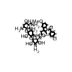 COc1ccc2c(c1)c(CC(=O)OC[C@H]1O[C@H](O[C@H]3C(N)C[C@H](N)[C@@H](O[C@H]4O[C@H](CN)[C@@H](O)C[C@H]4N)[C@@H]3O)[C@H](O)[C@@H](N)[C@@H]1O)c(C)n2C(=O)c1ccc(Cl)cc1